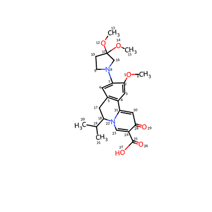 COc1cc2c(cc1N1CCC(OC)(OC)C1)CC(C(C)C)n1cc(C(=O)O)c(=O)cc1-2